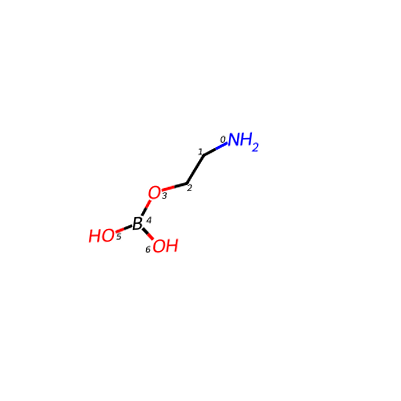 NCCOB(O)O